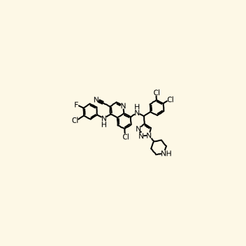 N#Cc1cnc2c(NC(c3ccc(Cl)c(Cl)c3)c3cn(C4CCNCC4)nn3)cc(Cl)cc2c1Nc1ccc(F)c(Cl)c1